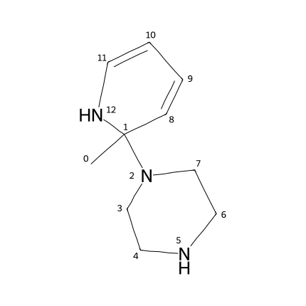 CC1(N2CCNCC2)C=CC=CN1